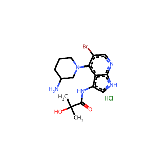 CC(C)(O)C(=O)Nc1c[nH]c2ncc(Br)c(N3CCCC(N)C3)c12.Cl